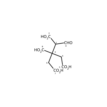 O=CC(C(=O)O)C(CC(=O)O)(CC(=O)O)C(=O)O